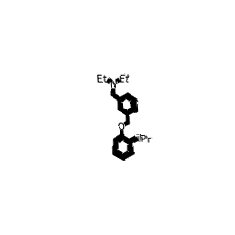 CCN(CC)Cc1cccc(COc2ccccc2C(C)C)c1